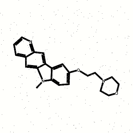 Cn1c2ccc(OCCN3CCOCC3)cc2c2cc3ncccc3cc21